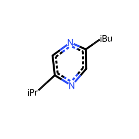 CCC(C)c1cnc(C(C)C)cn1